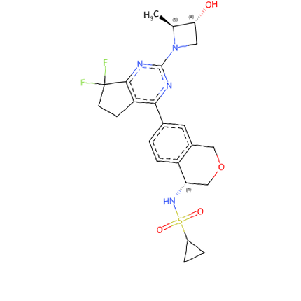 C[C@H]1[C@H](O)CN1c1nc(-c2ccc3c(c2)COC[C@@H]3NS(=O)(=O)C2CC2)c2c(n1)C(F)(F)CC2